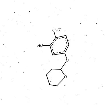 O=Cc1ccc(OC2CCCCO2)cc1O